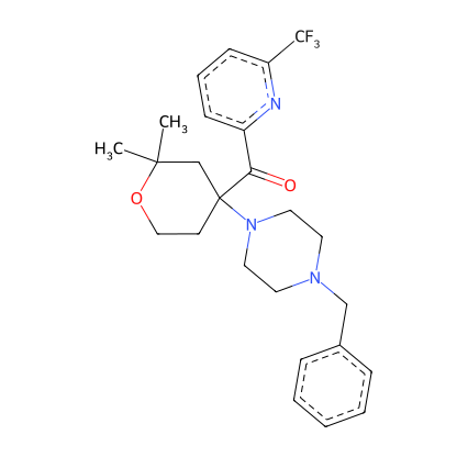 CC1(C)CC(C(=O)c2cccc(C(F)(F)F)n2)(N2CCN(Cc3ccccc3)CC2)CCO1